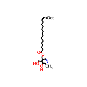 CCCCCCCC/C=C\CCCCCCCCCCCCCC(=O)OCc1cnc(C)c(O)c1CO